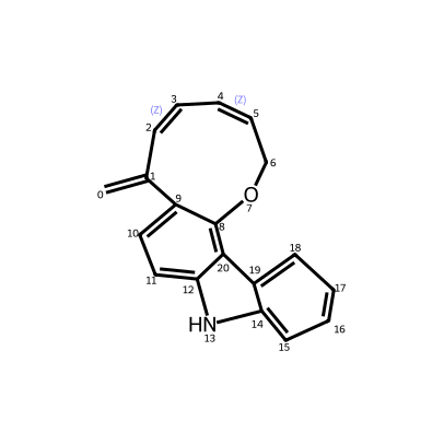 C=C1/C=C\C=C/COc2c1ccc1[nH]c3ccccc3c21